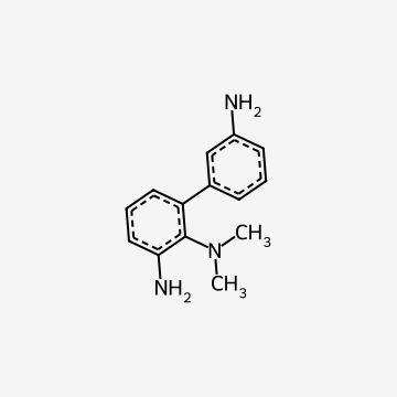 CN(C)c1c(N)cccc1-c1cccc(N)c1